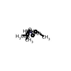 CCCCNCc1ccc(N/C(=C2\C(=O)Nc3cc(OCC)c(OCC)cc32)c2ccccc2)cc1